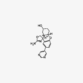 NC1=NC2(CO1)c1cc(-c3cncnc3)ccc1O[C@H]1CCC(O)C[C@H]12